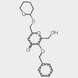 O=c1cc(COC2CCCCO2)oc(CO)c1OCc1ccccc1